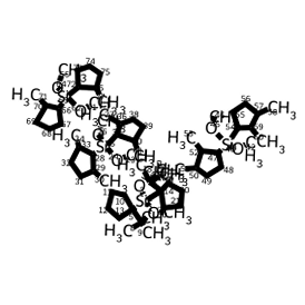 CO[Si](OC)(C1(C(C)(C)C)CCCC1)C1(C(C)(C)C)CCCC1.CO[Si](OC)(C1C(C)CCC1C)C1C(C)CCC1C.CO[Si](OC)(C1CCC(C)C1C)C1CCC(C)C1C.CO[Si](OC)(C1CCCC1C)C1CCCC1C